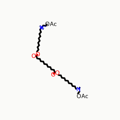 CC(=O)OCCN(C)CCCCCCCCCCCOC(=O)CCCCCCCCCCC(=O)OCCCCCCCCCCC[N+](C)(C)CCOC(C)=O